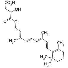 CC(C=CC1=C(C)CCCC1(C)C)=CC=CC(C)=CCOC(=O)C(O)CC(=O)O